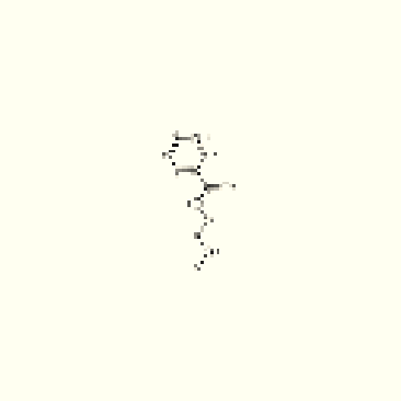 COCCOC(=O)c1cccnc1